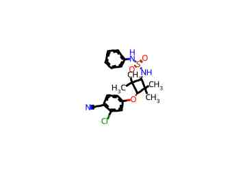 CC1(C)[C@H](NS(=O)(=O)Nc2ccccc2)C(C)(C)[C@H]1Oc1ccc(C#N)c(Cl)c1